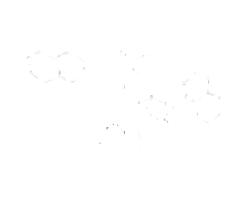 CNC(=O)c1noc(C(Cc2ccc3ccccc3c2)N(C(N)=O)C(=O)[CH]Cc2ccc3ccccc3c2)n1